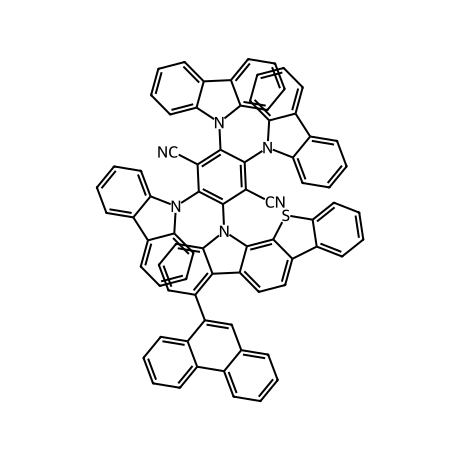 N#Cc1c(-n2c3ccccc3c3ccccc32)c(-n2c3ccccc3c3ccccc32)c(C#N)c(-n2c3cccc(-c4cc5ccccc5c5ccccc45)c3c3ccc4c5ccccc5sc4c32)c1-n1c2ccccc2c2ccccc21